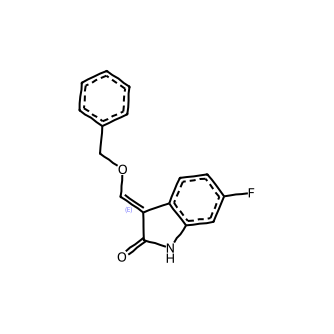 O=C1Nc2cc(F)ccc2/C1=C\OCc1ccccc1